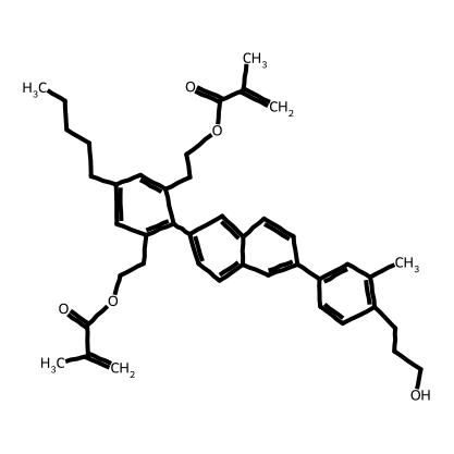 C=C(C)C(=O)OCCc1cc(CCCCC)cc(CCOC(=O)C(=C)C)c1-c1ccc2cc(-c3ccc(CCCO)c(C)c3)ccc2c1